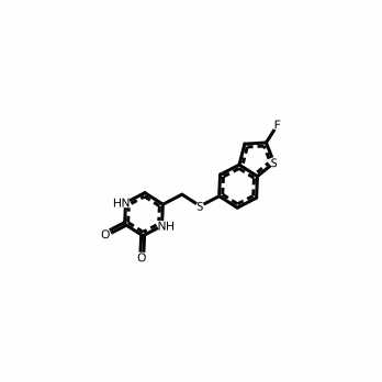 O=c1[nH]cc(CSc2ccc3sc(F)cc3c2)[nH]c1=O